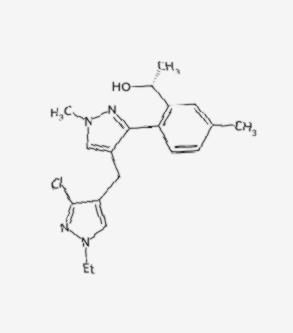 CCn1cc(Cc2cn(C)nc2-c2ccc(C)cc2[C@@H](C)O)c(Cl)n1